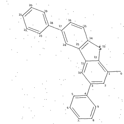 Cc1cc(-c2ccccc2)cc2c1sc1ccc(-c3ccccc3)cc12